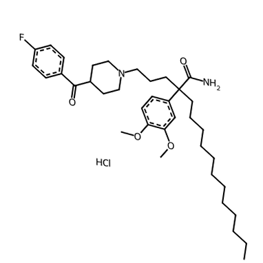 CCCCCCCCCCCCC(CCCN1CCC(C(=O)c2ccc(F)cc2)CC1)(C(N)=O)c1ccc(OC)c(OC)c1.Cl